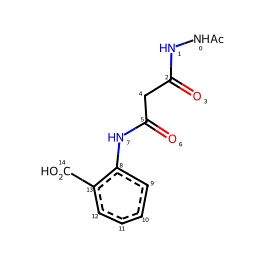 CC(=O)NNC(=O)CC(=O)Nc1ccccc1C(=O)O